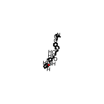 CC(=O)N1[C@@H]2CC[C@H]1CC(Nc1cc(C(=O)NCC(O)CN3CCc4cc(OCc5ocnc5C)ccc4C3)ccn1)C2